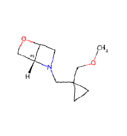 COCC1(CN2CC3OC[C@H]32)CC1